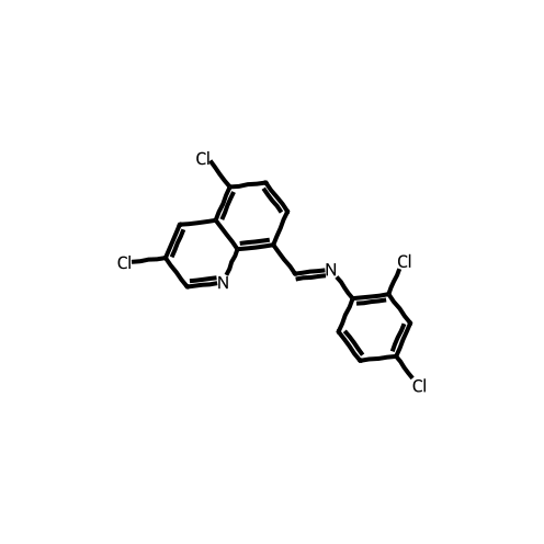 Clc1ccc(N=Cc2ccc(Cl)c3cc(Cl)cnc23)c(Cl)c1